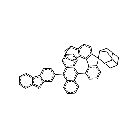 c1cc(-c2c3ccccc3c(-c3ccc4c(c3)oc3ccccc34)c3ccccc23)c2c(c1)C1(c3ccc4ccccc4c3-2)C2CC3CC(C2)CC1C3